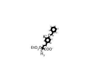 CCOC(=O)C(C)(CCc1ccc(OCc2ccccc2)cc1)C(=O)[O-].[K+]